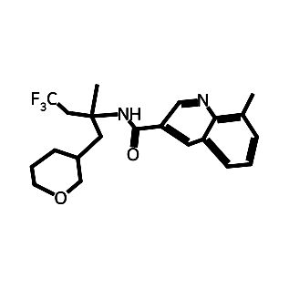 Cc1cccc2cc(C(=O)NC(C)(CC3CCCOC3)CC(F)(F)F)cnc12